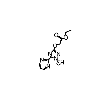 CCOC(=O)COc1nc(-c2ncccn2)n(O)n1